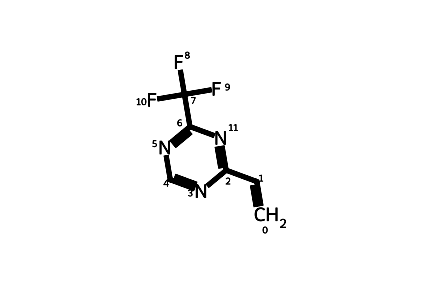 C=Cc1ncnc(C(F)(F)F)n1